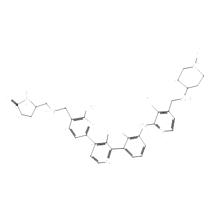 COc1nc(-c2ccnc(-c3cccc(Nc4nccc(CNC5CCN(C(C)=O)CC5)c4F)c3F)c2Cl)ccc1CNCC1CCC(=O)N1